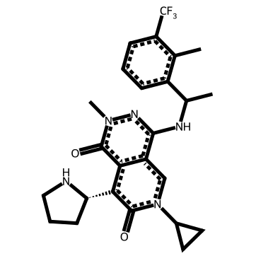 Cc1c(C(C)Nc2nn(C)c(=O)c3c([C@@H]4CCCN4)c(=O)n(C4CC4)cc23)cccc1C(F)(F)F